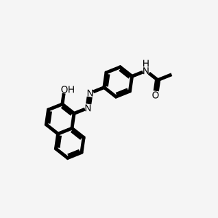 CC(=O)Nc1ccc(N=Nc2c(O)ccc3ccccc23)cc1